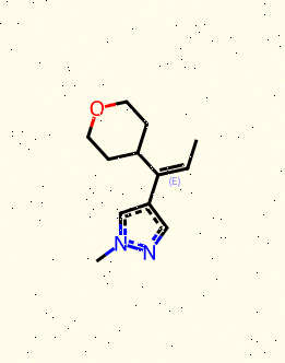 C/C=C(/c1cnn(C)c1)C1CCOCC1